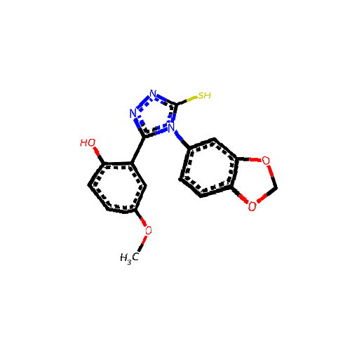 COc1ccc(O)c(-c2nnc(S)n2-c2ccc3c(c2)OCO3)c1